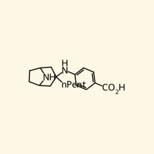 CCCCCC1(Nc2ccc(C(=O)O)cc2)CC2CCC(C1)N2